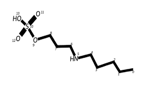 CCCCCNCCCOS(=O)(=O)O